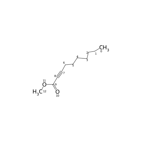 CCCCCCCC#CC(=O)OC